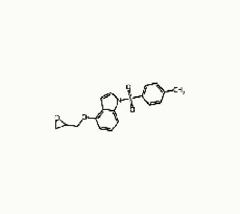 Cc1ccc(S(=O)(=O)n2ccc3c(OCC4CO4)cccc32)cc1